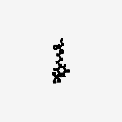 CCC(=O)OCCCc1cccc(C(C)(C)C)c1